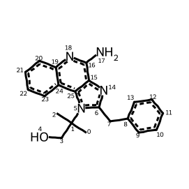 CC(C)(CO)n1c(Cc2ccccc2)nc2c(N)nc3ccccc3c21